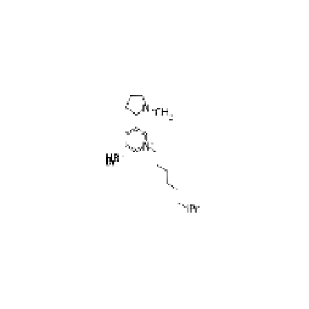 Br.CC(C)CCCCCC[n+]1cccc(C2CCCN2C)c1.[Br-]